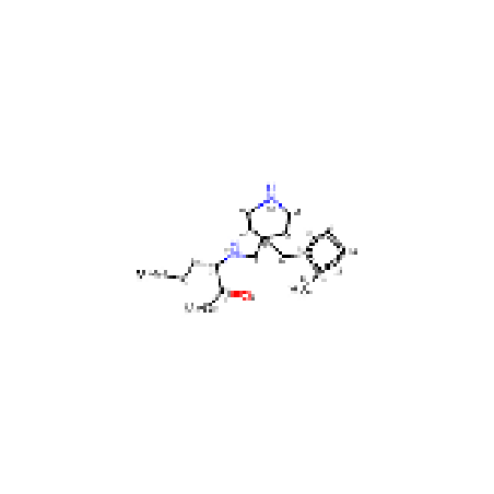 COC(=O)[C@H](CCSC)NCC1(Cc2ccccc2C)CCNCC1